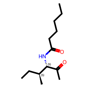 CCCCCC(=O)N[C@H](C(C)=O)[C@@H](C)CC